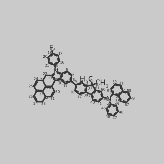 CC1(C)c2cc(-c3ccc4c(c3)c3c(n4-c4ccc(F)cc4)CC4C=CC5=C6C4=C3C=CC6CC=C5)ccc2-c2ccc(N(c3ccccc3)c3cccc4ccccc34)cc21